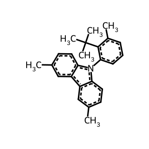 Cc1ccc2c(c1)c1cc(C)ccc1n2-c1cccc(C)c1C(C)(C)C